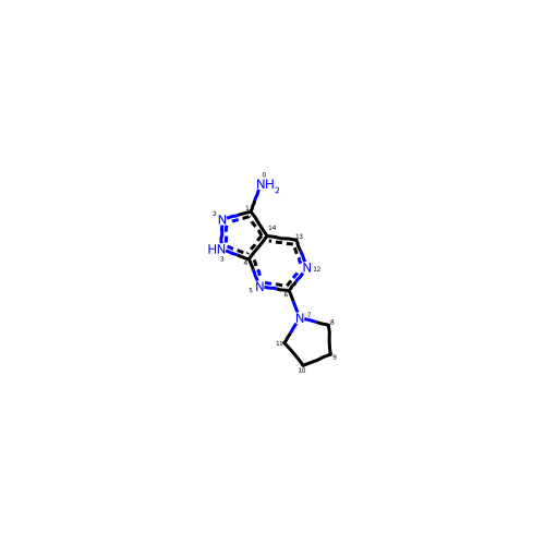 Nc1n[nH]c2nc(N3CCCC3)ncc12